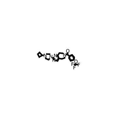 O=C(c1ccc(OC(F)(F)F)cc1)N1CCc2cnc(N3CCN(C4CCC4)CC3)nc2CC1